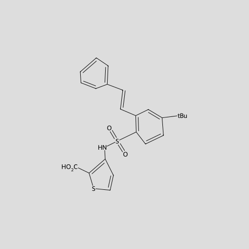 CC(C)(C)c1ccc(S(=O)(=O)Nc2ccsc2C(=O)O)c(C=Cc2ccccc2)c1